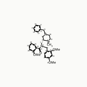 COc1ccc(CN(C[C@@H]2CN(Cc3ccccc3)CCN2C)C(=O)c2ccccc2OC)c(OC)c1